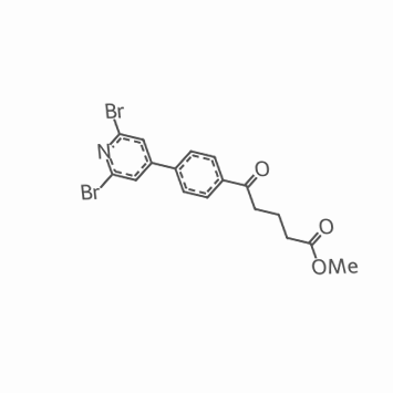 COC(=O)CCCC(=O)c1ccc(-c2cc(Br)nc(Br)c2)cc1